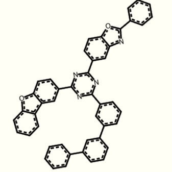 c1ccc(-c2cccc(-c3cccc(-c4nc(-c5ccc6oc(-c7ccccc7)nc6c5)nc(-c5ccc6oc7ccccc7c6c5)n4)c3)c2)cc1